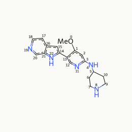 COc1cc(NC2CCNCC2)ncc1-c1cc2ccncc2[nH]1